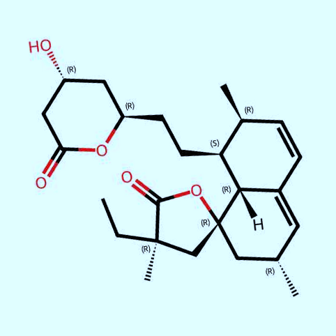 CC[C@]1(C)C[C@@]2(C[C@@H](C)C=C3C=C[C@H](C)[C@H](CC[C@@H]4C[C@@H](O)CC(=O)O4)[C@H]32)OC1=O